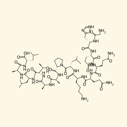 CC(C)C[C@H](NC(=O)[C@H](C)NC(=O)[C@H](CC(C)C)NC(=O)[C@@H](NC(=O)[C@H](C)NC(=O)[C@H](C)NC(=O)[C@@H]1CCCN1C(=O)[C@H](CC(C)C)NC(=O)[C@H](CCCCN)NC(=O)[C@H](CCC(N)=O)NC(=O)[C@H](CCC(N)=O)NC(=O)[C@H](CCC(=O)O)NC(=O)[C@H](Cc1c[nH]cn1)NC(=O)CN)[C@@H](C)O)C(=O)O